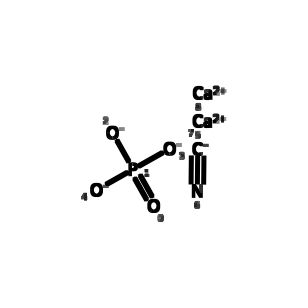 O=P([O-])([O-])[O-].[C-]#N.[Ca+2].[Ca+2]